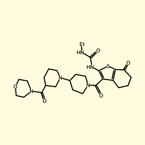 CCNC(=O)Nc1sc2c(c1C(=O)N1CCC(N3CCCC(C(=O)N4CCOCC4)C3)CC1)CCCC2=O